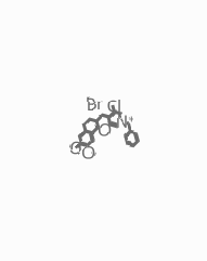 COc1cc2c(cc1OC)C(=O)C(Cc1cc[n+](Cc3ccccc3)cc1Cl)CC2.[Br-]